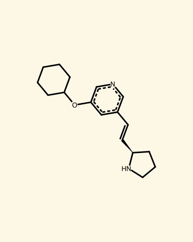 C(=C[C@H]1CCCN1)c1cncc(OC2CCCCC2)c1